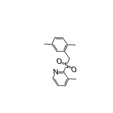 Cc1ccc(C)c(CS(=O)(=O)c2ncccc2C)c1